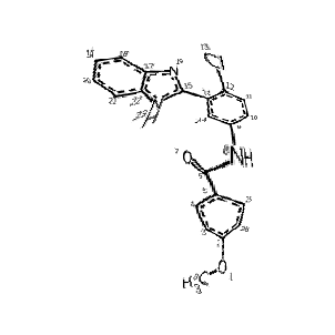 COc1ccc(C(=O)Nc2ccc(Cl)c(-c3nc4ccccc4[nH]3)c2)cc1